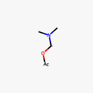 CC(=O)O[CH]N(C)C